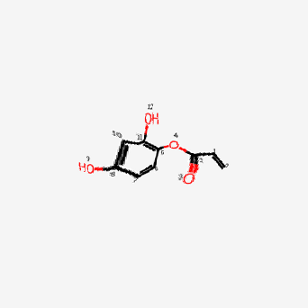 C=CC(=O)Oc1ccc(O)cc1O